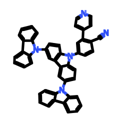 N#Cc1ccc(-n2c3ccc(-n4c5ccccc5c5ccccc54)cc3c3cc(-n4c5ccccc5c5ccccc54)ccc32)cc1-c1ccncc1